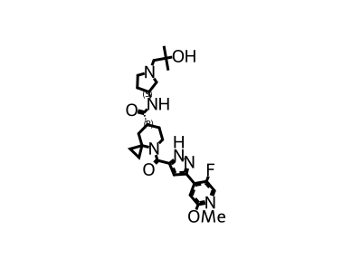 COc1cc(-c2cc(C(=O)N3CC[C@@H](C(=O)N[C@H]4CCN(CC(C)(C)O)C4)CC34CC4)[nH]n2)c(F)cn1